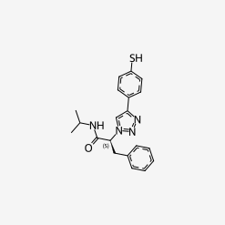 CC(C)NC(=O)[C@H](Cc1ccccc1)n1cc(-c2ccc(S)cc2)nn1